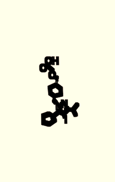 CC(C)c1nn(C[C@H]2CC[C@H](COCC(=O)O)CC2)c(-c2ccccc2)c1I